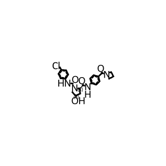 O=C(Nc1ccc(C(=O)N2CCC2)cc1)[C@H]1C[C@@H](O)CN1C(=O)Nc1ccc(Cl)cc1